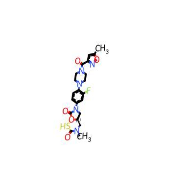 Cc1cc(C(=O)N2CCN(c3ccc(N4C[C@@H](CN(C)C(=O)S)OC4=O)cc3F)CC2)no1